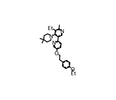 CCOc1ccc(CCOc2ccc(-c3cnc(C)c(CC)c3N3CCC(C)(C)CC3)nc2)cc1